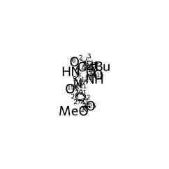 CCC(C)(C)OC(=O)NCCN(CCNC(=O)OC(C)(C)C)C(=O)c1ccc(C(=O)OC)cc1